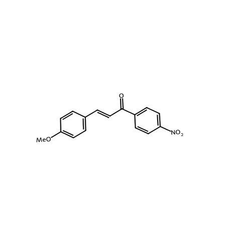 COc1ccc(/C=C/C(=O)c2ccc([N+](=O)[O-])cc2)cc1